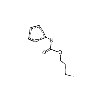 CCCCOC(=O)[N]c1ccccc1